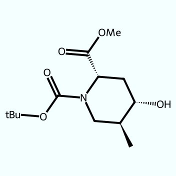 COC(=O)[C@@H]1C[C@H](O)[C@@H](C)CN1C(=O)OC(C)(C)C